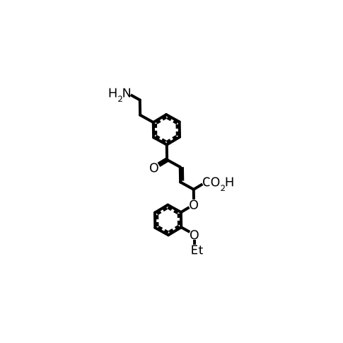 CCOc1ccccc1OC(C=CC(=O)c1cccc(CCN)c1)C(=O)O